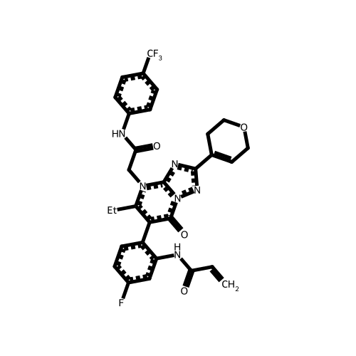 C=CC(=O)Nc1cc(F)ccc1-c1c(CC)n(CC(=O)Nc2ccc(C(F)(F)F)cc2)c2nc(C3=CCOCC3)nn2c1=O